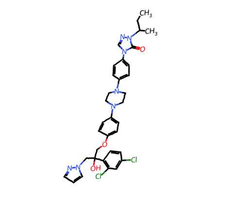 CCC(C)n1ncn(-c2ccc(N3CCN(c4ccc(OCC(O)(Cn5cccn5)c5ccc(Cl)cc5Cl)cc4)CC3)cc2)c1=O